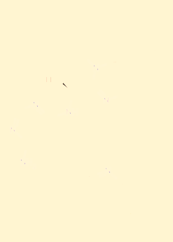 C[C@H](Nc1ncnc(N)c1C#Cc1ccc(F)cn1)c1nc2cccc(O)c2c(=O)n1-c1ccccc1